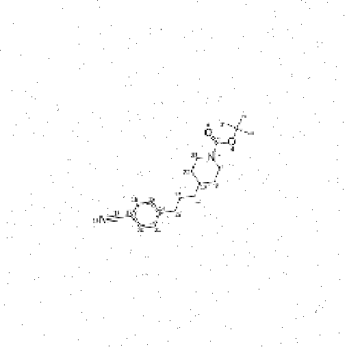 CC(C)(C)OC(=O)N1CCC(CCCc2ccc(C#N)cc2)CC1